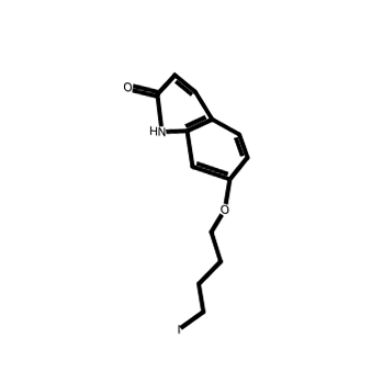 O=c1ccc2ccc(OCCCCI)cc2[nH]1